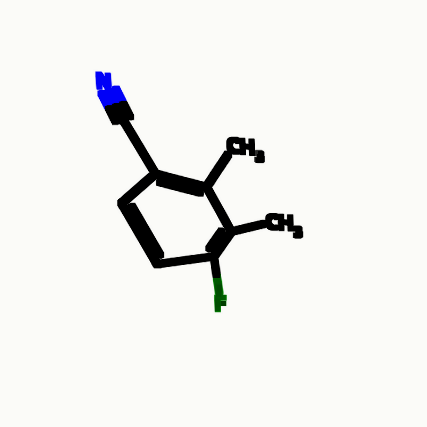 Cc1c(F)ccc(C#N)c1C